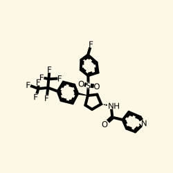 O=C(N[C@@H]1CC[C@](c2ccc(C(F)(C(F)(F)F)C(F)(F)F)cc2)(S(=O)(=O)c2ccc(F)cc2)C1)c1ccncc1